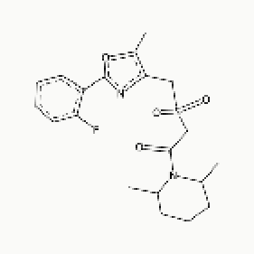 Cc1oc(-c2ccccc2F)nc1CS(=O)(=O)CC(=O)N1C(C)CCCC1C